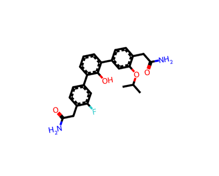 CC(C)Oc1cc(-c2cccc(-c3ccc(CC(N)=O)c(F)c3)c2O)ccc1CC(N)=O